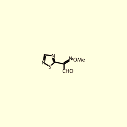 CON=C([C]=O)c1ncns1